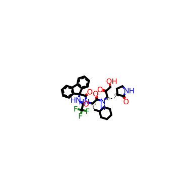 O=C1NCC[C@H]1C[C@H](NC(=O)[C@H](CC1CCCCC1)NC(=O)C1(NC(=O)C(F)(F)F)c2ccccc2-c2ccccc21)C(=O)CO